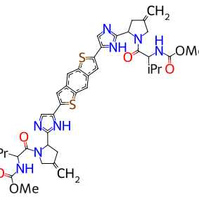 C=C1CC(c2ncc(-c3cc4cc5sc(-c6cnc(C7CC(=C)CN7C(=O)C(NC(=O)OC)C(C)C)[nH]6)cc5cc4s3)[nH]2)N(C(=O)C(NC(=O)OC)C(C)C)C1